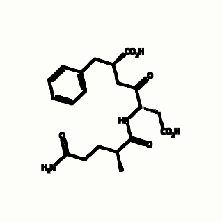 C[C@@H](CCC(N)=O)C(=O)N[C@@H](CC(=O)O)C(=O)C[C@@H](Cc1ccccc1)C(=O)O